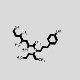 C=C(/C(N)=C/C(C)=C(C)/C=C\S)N(CCCc1ccc(O)cc1)/C(=C\C)CCC